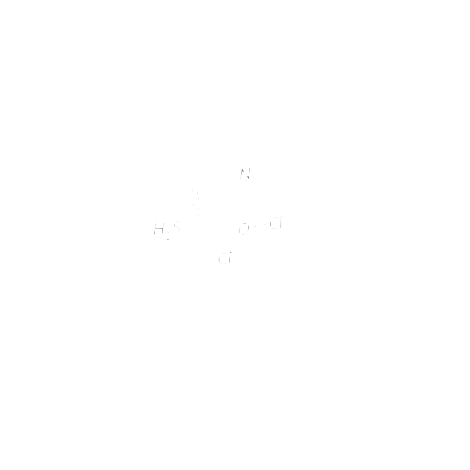 ClOCl.S.c1ccncc1